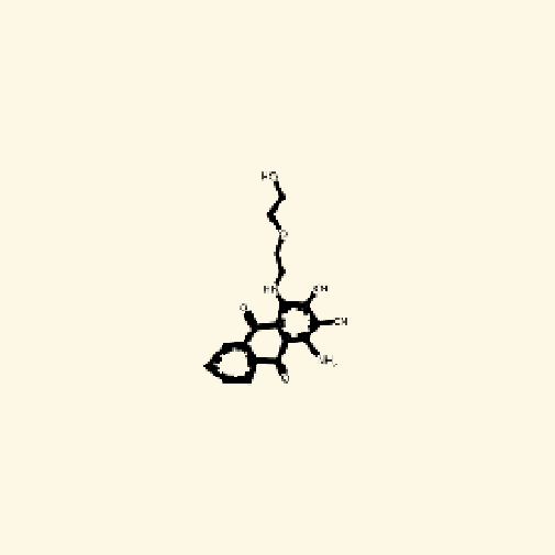 N#Cc1c(N)c2c(c(NCCOCCO)c1C#N)C(=O)c1ccccc1C2=O